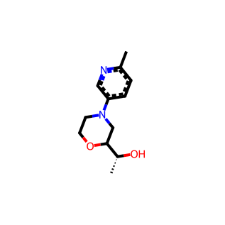 Cc1ccc(N2CCOC([C@@H](C)O)C2)cn1